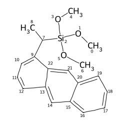 CO[Si](OC)(OC)C(C)c1cccc2cc3ccccc3cc12